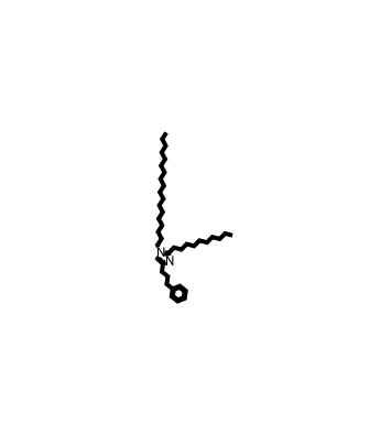 CCCCCCCCCCCCCCCCCCn1cc(CCCc2ccccc2)nc1CCCCCCCCCC